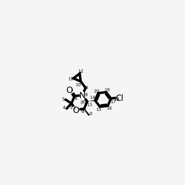 C[C@H]1OC(C)(C)C(=O)N(CC2CC2)[C@@H]1c1ccc(Cl)cc1